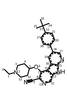 CCN1CCC(Oc2c(C#N)ncc3[nH]c4ncc(-c5ccc(C(C)(C)C)cc5)cc4c23)CC1